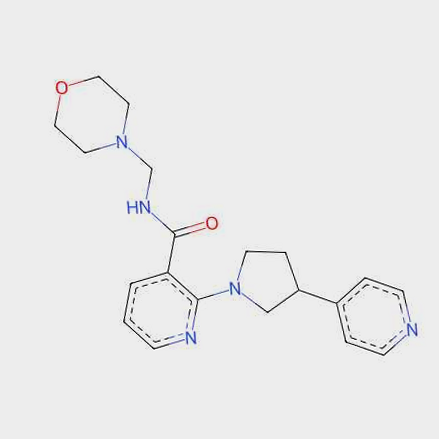 O=C(NCN1CCOCC1)c1cccnc1N1CCC(c2ccncc2)C1